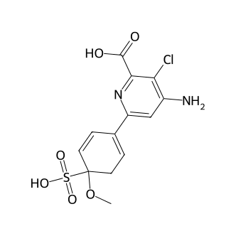 COC1(S(=O)(=O)O)C=CC(c2cc(N)c(Cl)c(C(=O)O)n2)=CC1